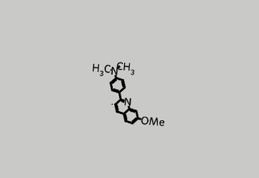 COc1ccc2c[c]c(-c3ccc(N(C)C)cc3)nc2c1